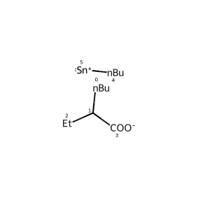 CCCCC(CC)C(=O)[O-].CCC[CH2][Sn+]